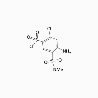 CNS(=O)(=O)c1cc(S(=O)(=O)Cl)c(Cl)cc1N